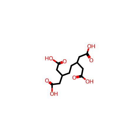 O=C(O)CC(CCC(CC(=O)O)CC(=O)O)CC(=O)O